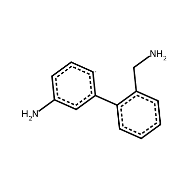 NCc1ccccc1-c1[c]ccc(N)c1